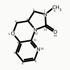 CN1CC2COc3cccnc3N2C1=O